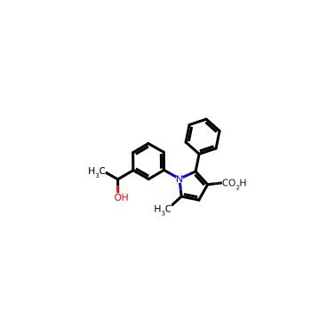 Cc1cc(C(=O)O)c(-c2ccccc2)n1-c1cccc(C(C)O)c1